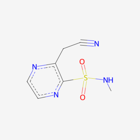 CNS(=O)(=O)c1nccnc1CC#N